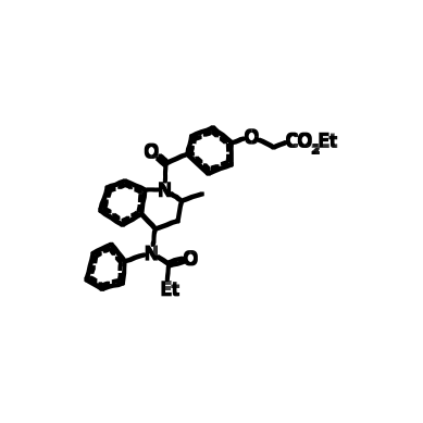 CCOC(=O)COc1ccc(C(=O)N2c3ccccc3C(N(C(=O)CC)c3ccccc3)CC2C)cc1